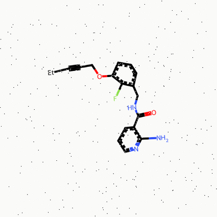 CCC#CCOc1cccc(CNC(=O)c2cccnc2N)c1F